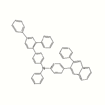 c1ccc(-c2ccc(-c3ccc(N(c4ccccc4)c4ccc(-c5cc6ccccc6cc5-c5ccccc5)cc4)cc3)c(-c3ccccc3)c2)cc1